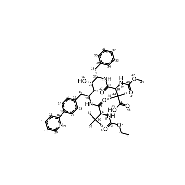 CCOC(=O)N[C@H](C(=O)N[C@@H](Cc1ccc(-c2ccccn2)cc1)C[C@H](O)[C@H](Cc1ccccc1)NC(=O)[C@@H](NC(=O)OC)C(C)(C)C(=O)O)C(C)(C)C